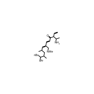 C=CC(C(=O)/C=C/C(=C/C(C)CC(C)C(CCC)CCCC)CNC)C(C)N